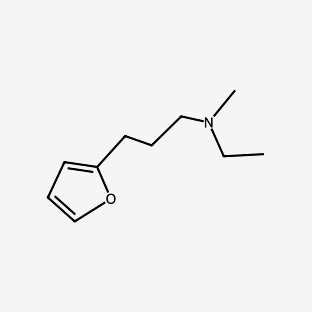 CCN(C)CCCc1ccco1